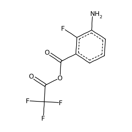 Nc1cccc(C(=O)OC(=O)C(F)(F)F)c1F